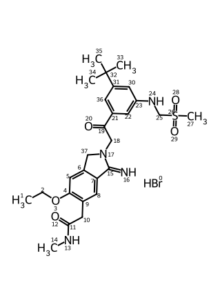 Br.CCOc1cc2c(cc1CC(=O)NC)C(=N)N(CC(=O)c1cc(NCS(C)(=O)=O)cc(C(C)(C)C)c1)C2